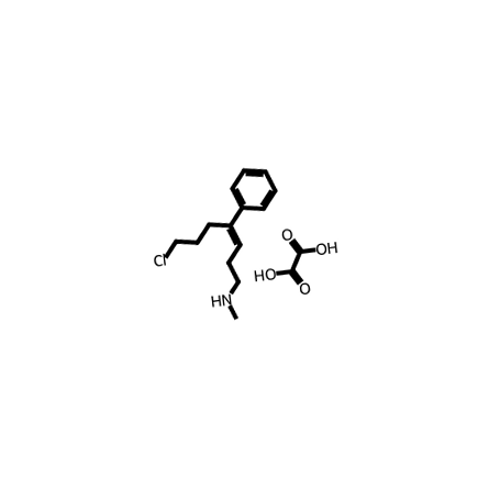 CNCCC=C(CCCCl)c1ccccc1.O=C(O)C(=O)O